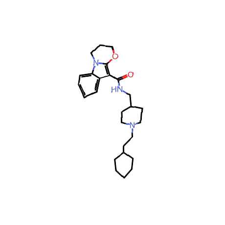 O=C(NCC1CCN(CCC2CCCCC2)CC1)c1c2n(c3ccccc13)CCCO2